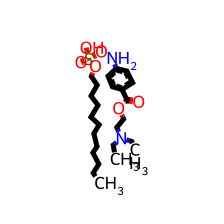 CCCCCCCCCCCCOS(=O)(=O)O.CCN(CC)CCOC(=O)c1ccc(N)cc1